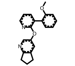 COc1ccccc1-c1cccnc1Oc1cnc2c(c1)CCC2